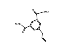 C=CCc1cc(C(=O)OC)cc(C(=O)OC)c1